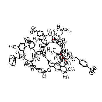 CC(C)C[C@H](C(=O)N[C@H]1C(=O)C[C@@H](CC(N)=O)C(=O)N[C@H]2C(=O)C[C@H]3C(=O)N[C@H](C(=O)N[C@H](C(=O)CC4C5CC6CC(C5)CC4C6)c4cc(O)cc(O)c4-c4cc3ccc4O)[C@H](O)c3ccc(c(Cl)c3)Oc3cc2cc(c3O[C@@H]2O[C@H](CO)[C@@H](O)[C@H](O)[C@H]2O[C@H]2C[C@](C)(NC(=O)OCc3ccc([N+](=O)[O-])cc3)[C@H](O)[C@H](C)O2)Oc2ccc(cc2Cl)[C@H]1O)N(C)C(=O)OCc1ccc([N+](=O)[O-])cc1